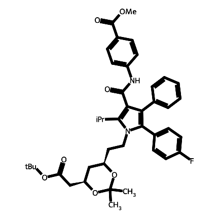 COC(=O)c1ccc(NC(=O)c2c(-c3ccccc3)c(-c3ccc(F)cc3)n(CC[C@@H]3C[C@H](CC(=O)OC(C)(C)C)OC(C)(C)O3)c2C(C)C)cc1